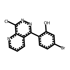 Oc1cc(Br)ccc1-c1nnc(Cl)c2ncccc12